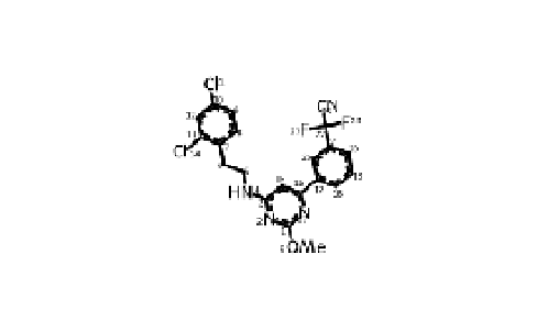 COc1nc(NCCc2ccc(Cl)cc2Cl)cc(-c2cccc(C(F)(F)C#N)c2)n1